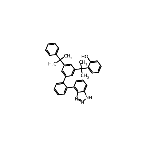 CC(C)(c1ccccc1)c1cc(-c2ccccc2-c2cccc3[nH]nnc23)cc(C(C)(C)c2ccccc2O)c1